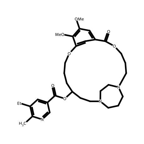 CCc1cc(C(=O)OC2CCCOc3cc(cc(OC)c3OC)C(=O)OCCCN3CCCN(CC2)CC3)cnc1C